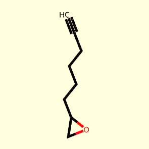 C#CCCCCC1CO1